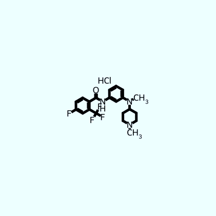 CN1CCC(N(C)c2cccc(NC(=O)c3ccc(F)cc3C(F)(F)F)c2)CC1.Cl